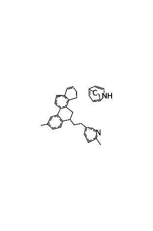 C1=CC2=CC=C(CC2)N1.Cc1ccc2c(c1)-c1ccc3c(c1CC2CCc1ccc(C)nc1)CCC=C3